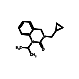 CC(C)N1C(=O)N(CC2CC2)Cc2ccccc21